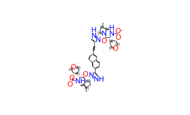 COC(=O)NC(C(=O)C1[C@H](c2nc(-c3ccc4cc(C#Cc5c[nH]c([C@@H]6C[C@@H](C)[C@@H](C)N6C(=O)C(NC(=O)OC)[C@H]6C[C@@H](C)O[C@@H](C)C6)n5)ccc4c3)c[nH]2)C[C@@H](C)[C@H]1C)[C@H]1C[C@@H](C)O[C@@H](C)C1